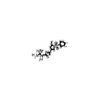 Cc1cc(-c2csc(NC(=N)N)n2)cn1S(=O)(=O)c1ccccc1